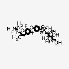 CC(=Cc1cc(F)c(Oc2ccc(S(=O)(=O)N(C)C[C@H](O)[C@@H](O)[C@H](O)[C@H](O)CO)cc2)c(F)c1)C(=O)N=C(N)N